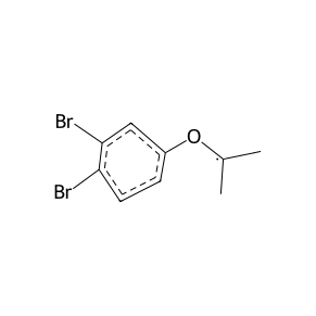 C[C](C)Oc1ccc(Br)c(Br)c1